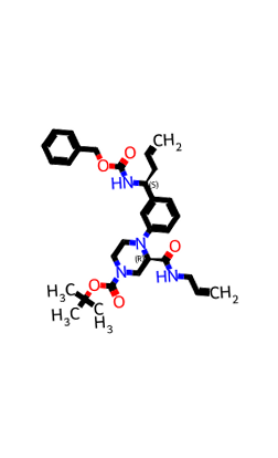 C=CCNC(=O)[C@H]1CN(C(=O)OC(C)(C)C)CCN1c1cccc([C@H](CC=C)NC(=O)OCc2ccccc2)c1